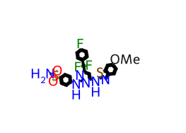 COc1ccc2nc(Nc3cc(C(F)(F)c4ccc(F)cc4)nc(Nc4ccc(S(N)(=O)=O)cc4)n3)sc2c1